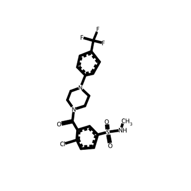 CNS(=O)(=O)c1ccc(Cl)c(C(=O)N2CCN(c3ccc(C(F)(F)F)cc3)CC2)c1